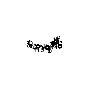 CC[C@@H]1C(=O)N(C)c2cnc(Nc3ccc(C(=O)N[C@H]4CC5CN(C(=O)OC(C)(C)C)CC[C@@H]5C4)cc3OC)nc2N1C1CCCC1